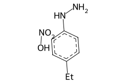 CCc1ccc(NN)cc1.O=[N+]([O-])O